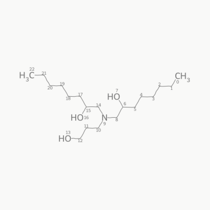 CCCCCCC(O)CN(CCCO)CC(O)CCCCCC